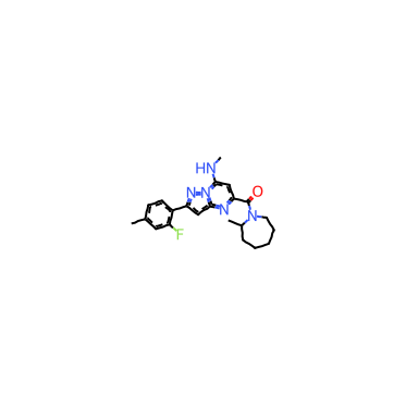 CNc1cc(C(=O)N2CCCCCC2C)nc2cc(-c3ccc(C)cc3F)nn12